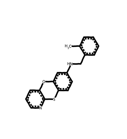 Cc1ccccc1CNc1ccc2c(c1)Oc1cccnc1S2